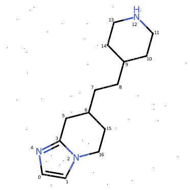 c1cn2c(n1)CC(CCC1CCNCC1)CC2